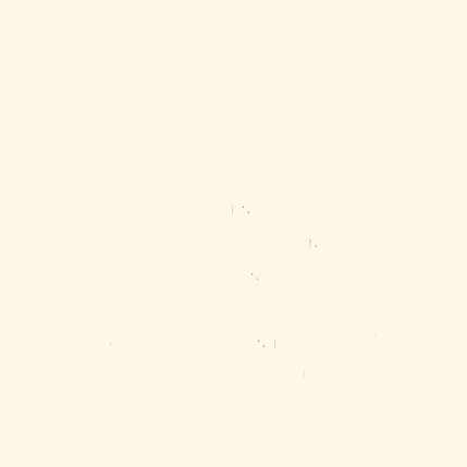 CCCCNc1ncc(C(=O)O)c(NC2CCC(O)CC2)n1